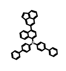 C1=Cc2cc(-c3ccc(N(c4ccc(-c5ccccc5)cc4)c4ccc(-c5ccccc5)cc4)c4ccccc34)cc3cccc1c23